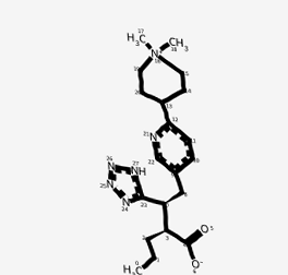 CCC[C@H](C(=O)[O-])[C@H](Cc1ccc(C2CC[N+](C)(C)CC2)nc1)c1nnn[nH]1